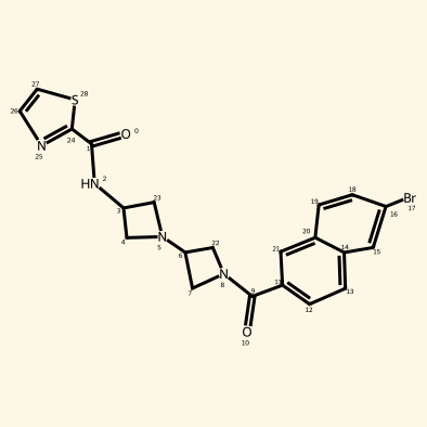 O=C(NC1CN(C2CN(C(=O)c3ccc4cc(Br)ccc4c3)C2)C1)c1nccs1